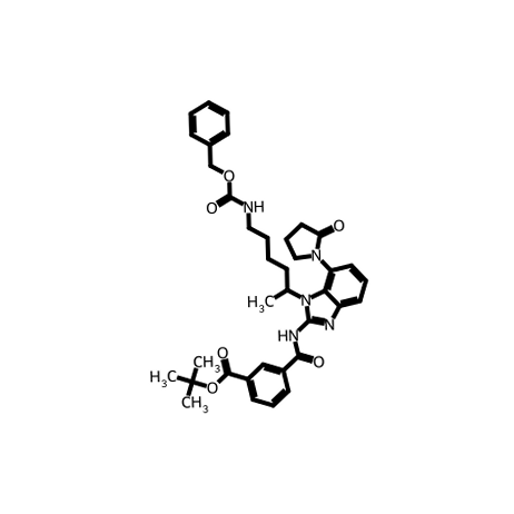 CC(CCCCNC(=O)OCc1ccccc1)n1c(NC(=O)c2cccc(C(=O)OC(C)(C)C)c2)nc2cccc(N3CCCC3=O)c21